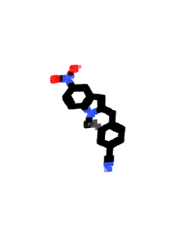 Cn1c(Cc2ccc(C#N)cc2)cc2cc([N+](=O)[O-])ccc21